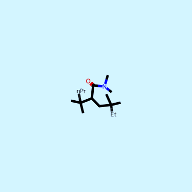 CCCC(C)(C)C(CC(C)(C)CC)C(=O)N(C)C